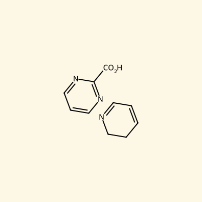 C1=CCCN=C1.O=C(O)c1ncccn1